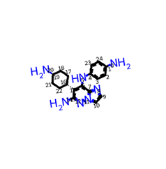 Nc1ccc(Nc2c3nccn3nc(N)c2[C@H]2CC[C@H](N)CC2)cc1